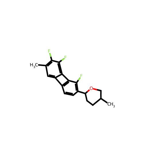 Cc1cc2c(c(F)c1F)-c1c-2ccc(C2CCC(C)CO2)c1F